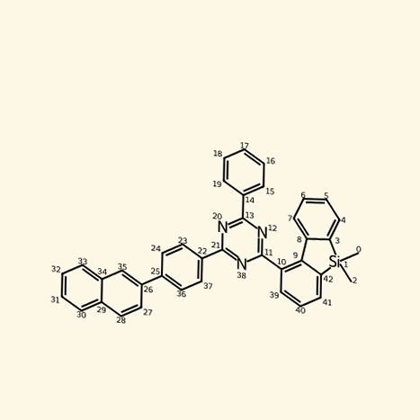 C[Si]1(C)c2ccccc2-c2c(-c3nc(-c4ccccc4)nc(-c4ccc(-c5ccc6ccccc6c5)cc4)n3)cccc21